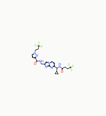 O=C(CCC(F)(F)F)NC(c1ccn2cc(CNC(=O)c3ccn(CCC(F)(F)F)n3)nc2n1)C1CC1